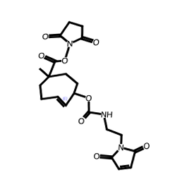 CC1(C(=O)ON2C(=O)CCC2=O)CC/C=C/C(OC(=O)NCCN2C(=O)C=CC2=O)CC1